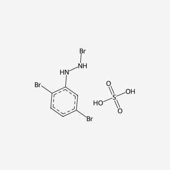 BrNNc1cc(Br)ccc1Br.O=S(=O)(O)O